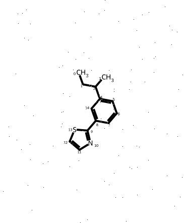 CCC(C)c1cccc(-c2nccs2)c1